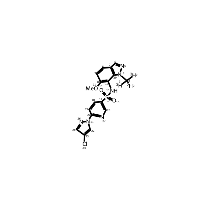 [2H]C([2H])([2H])n1ncc2ccc(OC)c(NS(=O)(=O)c3ccc(-n4cc(Cl)cn4)nc3)c21